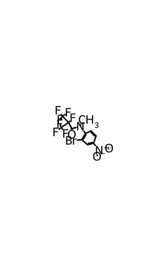 CN(C(=O)C(F)(C(F)(F)F)C(F)(F)F)c1ccc([N+](=O)[O-])cc1Br